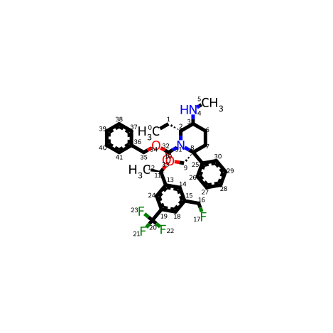 CC[C@@H]1C(NC)CC[C@@](CO[C@H](C)c2cc(CF)cc(C(F)(F)F)c2)(c2ccccc2)N1C(=O)OCc1ccccc1